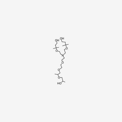 CC(O)COC(C)COCCOCCN(CCOC(C)(C)CCO)CCOC(C)(C)CCO